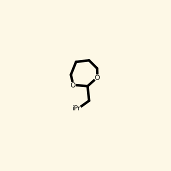 CC(C)CC1OCCCCO1